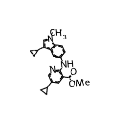 COC(=O)c1cc(C2CC2)cnc1Nc1ccc2c(c1)c(C1CC1)cn2C